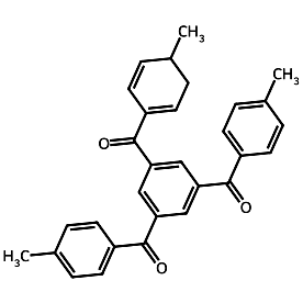 Cc1ccc(C(=O)c2cc(C(=O)C3=CCC(C)C=C3)cc(C(=O)c3ccc(C)cc3)c2)cc1